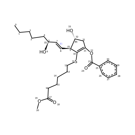 CCCCC[C@H](O)/C=C/[C@@H]1C(SCCCCCC(=O)OC)=C(OC(=O)c2ccccc2)C[C@H]1O